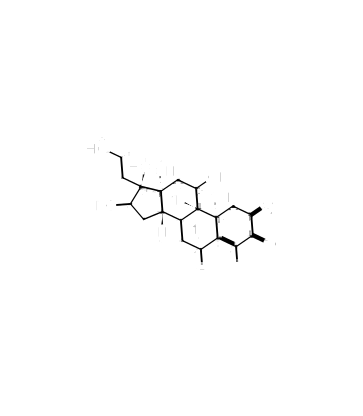 CC1C[C@H]2[C@@H]3CC(F)C4=C(F)C(=O)C(=O)C[C@]4(C)[C@@]3(F)C(O)C[C@]2(C)[C@@]1(O)CCO